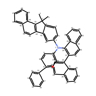 CC1(C)c2ccc(N(c3ccc(-c4ccccc4)cc3)c3c(-c4cccc5ccccc45)ccc4ccccc34)cc2-c2ccc3ccccc3c21